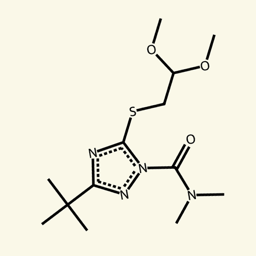 COC(CSc1nc(C(C)(C)C)nn1C(=O)N(C)C)OC